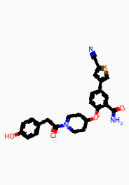 N#Cc1cc(-c2ccc(OC3CCN(C(=O)Cc4ccc(O)cc4)CC3)c(C(N)=O)c2)cs1